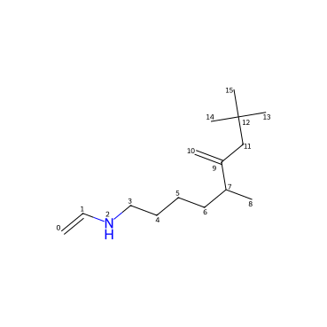 C=CNCCCCC(C)C(=C)CC(C)(C)C